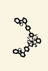 C/C=C(\C=C1\Sc2cccc3c2N2C1=CSc1cc(-c4ccc(-c5cccc6c5oc5ccccc56)cc4)cc(c12)S3)c1ccc(-c2cccc3c2oc2ccccc23)cc1